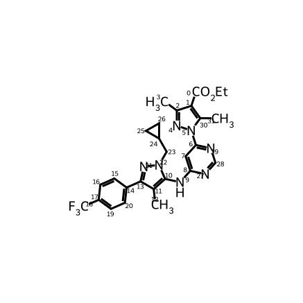 CCOC(=O)c1c(C)nn(-c2cc(Nc3c(C)c(-c4ccc(C(F)(F)F)cc4)nn3CC3CC3)ncn2)c1C